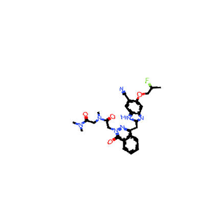 CC(F)COc1cc2nc(Cc3nn(CC(=O)N(C)CC(=O)N(C)C)c(=O)c4ccccc34)[nH]c2cc1C#N